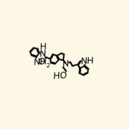 Nc1ccccc1NC(=O)c1ccc2c(c1)CCC2N(CCO)CCc1c[nH]c2ccccc12